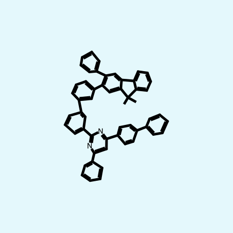 CC1(C)c2ccccc2-c2cc(-c3ccccc3)c(-c3cccc(-c4cccc(-c5nc(-c6ccccc6)cc(-c6ccc(-c7ccccc7)cc6)n5)c4)c3)cc21